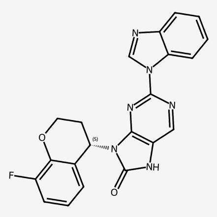 O=c1[nH]c2cnc(-n3cnc4ccccc43)nc2n1[C@H]1CCOc2c(F)cccc21